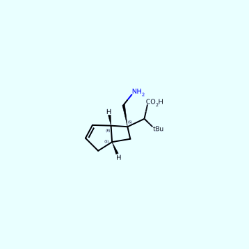 CC(C)(C)C(C(=O)O)[C@]1(CN)C[C@@H]2CC=C[C@@H]21